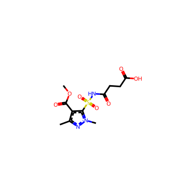 COC(=O)c1c(C)nn(C)c1S(=O)(=O)NC(=O)CCC(=O)O